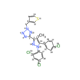 Cc1c(-c2nnn(Cc3ccsc3)n2)nn(-c2ccc(Cl)cc2Cl)c1-c1ccc(Cl)cc1